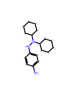 Nc1ccc(NN(C2CCCCC2)C2CCCCC2)cc1